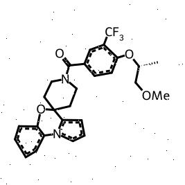 COC[C@@H](C)Oc1ccc(C(=O)N2CCC3(CC2)Oc2ccccc2-n2cccc23)cc1C(F)(F)F